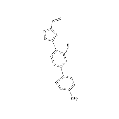 C=Cc1ccc(-c2ccc(-c3ccc(CCC)cc3)cc2F)s1